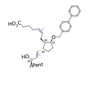 CCCCC[C@@H](O)/C=C/[C@H]1CC[C@H](OCc2ccc(-c3ccccc3)cc2)[C@@H]1C/C=C\CCCC(=O)O